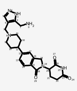 NCc1[nH]ncc1CN1CCC(c2ccc3c(c2)CN(C2CCC(=O)NC2=O)C3=O)CC1